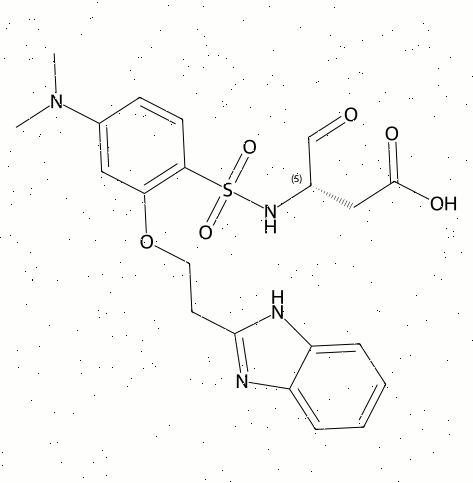 CN(C)c1ccc(S(=O)(=O)N[C@H](C=O)CC(=O)O)c(OCCc2nc3ccccc3[nH]2)c1